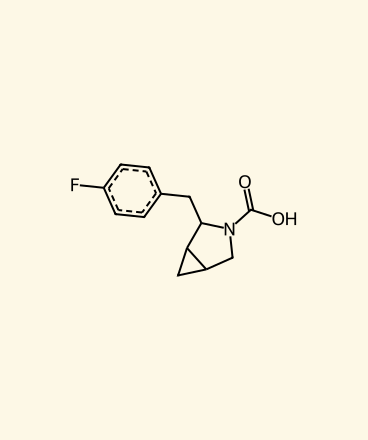 O=C(O)N1CC2CC2C1Cc1ccc(F)cc1